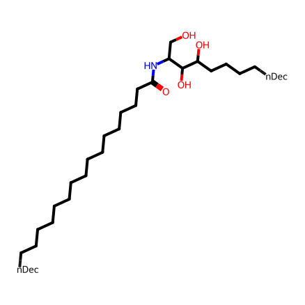 CCCCCCCCCCCCCCCCCCCCCCCCCC(=O)NC(CO)C(O)C(O)CCCCCCCCCCCCCC